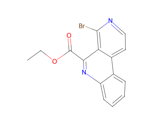 CCOC(=O)c1nc2ccccc2c2ccnc(Br)c12